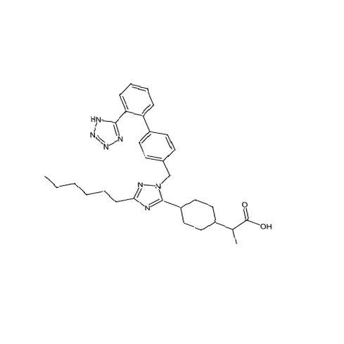 CCCCCCc1nc(C2CCC(C(C)C(=O)O)CC2)n(Cc2ccc(-c3ccccc3-c3nnn[nH]3)cc2)n1